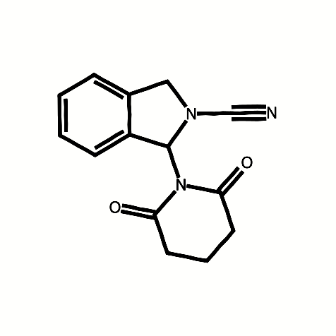 N#CN1Cc2ccccc2C1N1C(=O)CCCC1=O